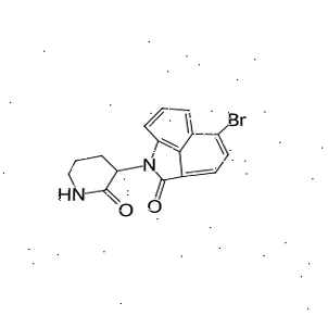 O=C1NCCCC1N1C(=O)c2ccc(Br)c3cccc1c23